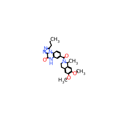 CCCc1nnc2c(=O)[nH]c3cc(C(=O)N4CCc5cc(OC)c(OC)cc5C4C)ccc3n12